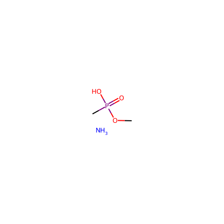 COP(C)(=O)O.N